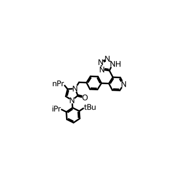 CCCc1cn(-c2c(C(C)C)cccc2C(C)(C)C)c(=O)n1Cc1ccc(-c2ccncc2-c2nnn[nH]2)cc1